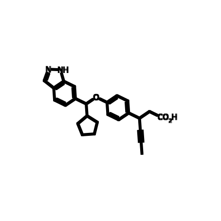 CC#CC(CC(=O)O)c1ccc(OC(c2ccc3cn[nH]c3c2)C2CCCC2)cc1